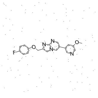 COc1cncc(-c2cnc3nc(COc4ccc(F)cc4)cn3c2)c1